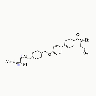 CCC(/C=N\CN1CCC(COC2=CCC(C3=CCC(C(=O)N(CC)CCO)CC3)C=C2)CC1)=C/NC